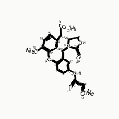 COCC(=O)Nc1ccc(Oc2cc(CC(=O)O)ccc2OC)c(CN2CCOC2=O)c1